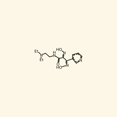 CCN(CC)CCNC(=O)C(=NO)C(=NO)c1cccnc1